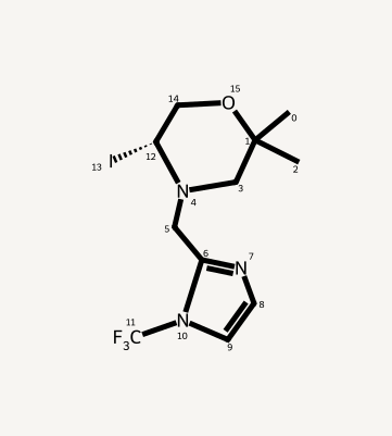 CC1(C)CN(Cc2nccn2C(F)(F)F)[C@H](I)CO1